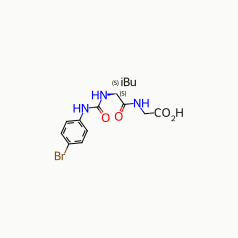 CC[C@H](C)[C@H](NC(=O)Nc1ccc(Br)cc1)C(=O)NCC(=O)O